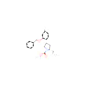 COC[C@@H]1C[C@@H](c2ccc(C(F)(F)F)cc2OCc2ccccc2)CN1C(=O)OC(C)(C)C